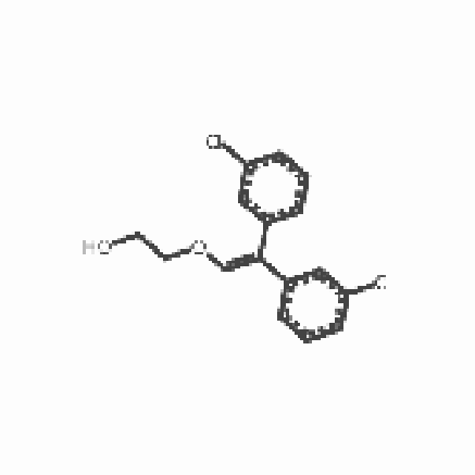 OCCOC=C(c1cccc(Cl)c1)c1cccc(Cl)c1